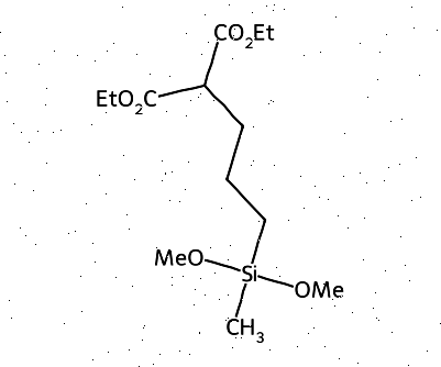 CCOC(=O)C(CCC[Si](C)(OC)OC)C(=O)OCC